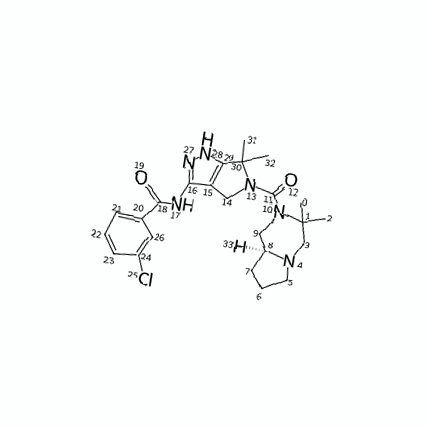 CC1(C)CN2CCC[C@H]2CN1C(=O)N1Cc2c(NC(=O)c3cccc(Cl)c3)n[nH]c2C1(C)C